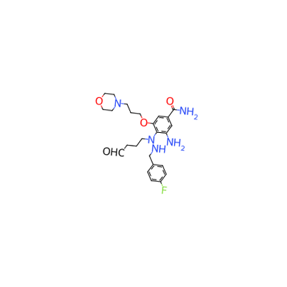 NC(=O)c1cc(N)c(N(CCCC=O)NCc2ccc(F)cc2)c(OCCCN2CCOCC2)c1